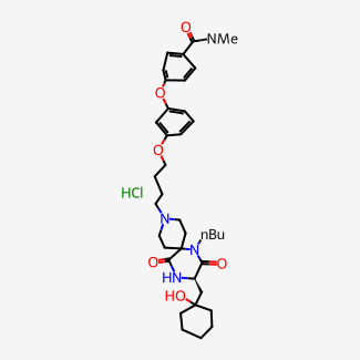 CCCCN1C(=O)[C@@H](CC2(O)CCCCC2)NC(=O)C12CCN(CCCCOc1cccc(Oc3ccc(C(=O)NC)cc3)c1)CC2.Cl